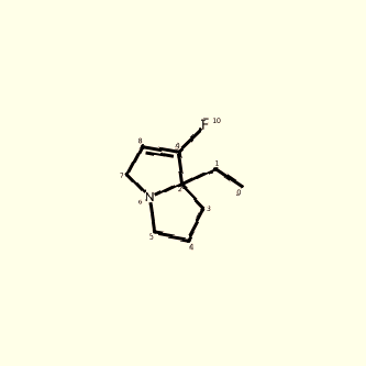 CCC12CCCN1CC=C2F